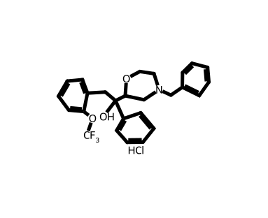 Cl.OC(Cc1ccccc1OC(F)(F)F)(c1ccccc1)C1CN(Cc2ccccc2)CCO1